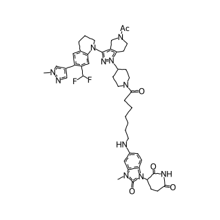 CC(=O)N1CCc2c(c(N3CCCc4cc(-c5cnn(C)c5)c(C(F)F)cc43)nn2C2CCN(C(=O)CCCCCCNc3ccc4c(c3)n(C)c(=O)n4C3CCC(=O)NC3=O)CC2)C1